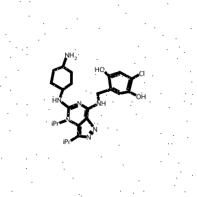 CC(C)c1nnc2c(NCc3cc(O)c(Cl)cc3O)nc(NC3CCC(N)CC3)n(C(C)C)c1-2